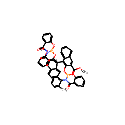 COC(=O)c1cc2ccccc2c(-c2c(OP3Oc4ccccc4C(=O)N3c3ccccc3C)c(C(=O)OC)cc3ccccc23)c1OP1Oc2ccccc2C(=O)N1c1ccccc1C